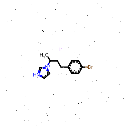 CC(CCc1ccc(Br)cc1)[n+]1cc[nH]c1.[I-]